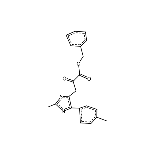 Cc1ccc(-c2nc(C)sc2CC(=O)C(=O)OCc2ccccc2)cc1